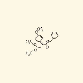 CCOC(CN(C(=O)OCc1ccccc1)c1ccc(OC)cc1)OCC